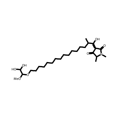 COC(OCCCCCCCCCCCCCCC(C)/C(O)=C1\C(=O)C(C)N(C)C1=O)C(O)O